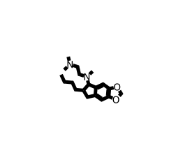 CCCCC1Cc2cc3c(cc2C1N(C)CCN(C)C)OCO3